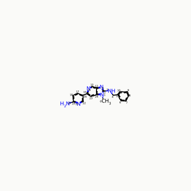 Cn1c(NCc2ccccc2)nc2cnc(-c3ccc(N)nc3)cc21